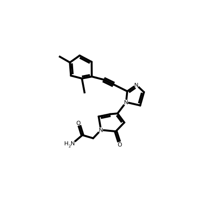 Cc1ccc(C#Cc2nccn2-c2ccn(CC(N)=O)c(=O)c2)c(C)c1